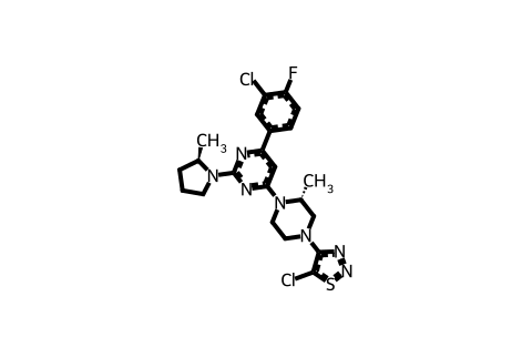 C[C@@H]1CN(c2nnsc2Cl)CCN1c1cc(-c2ccc(F)c(Cl)c2)nc(N2CCC[C@H]2C)n1